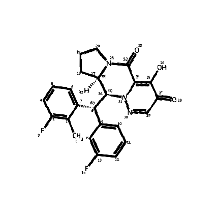 Cc1c(F)cccc1[C@@H](c1cccc(F)c1)[C@H]1[C@H]2CCCN2C(=O)c2c(O)c(=O)cnn21